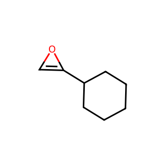 C1=C(C2CCCCC2)O1